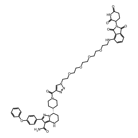 NC(=O)c1c(-c2ccc(Oc3ccccc3)cc2)nn2c1NCC[C@H]2C1CCN(C(=O)c2cn(CCOCCOCCOCCOCCNc3cccc4c3C(=O)N(C3CCC(=O)NC3=O)C4=O)nn2)CC1